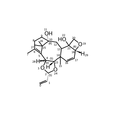 C=C[C@@H]1O[C@@H]2C3=C(C)CC[C@@](O)(CC4C(C)(C=C[C@H]5OCC45O)[C@@H]2O1)C3(C)C